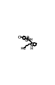 C#CCCCc1[nH]c2ccccc2c1CCNS(=O)(=O)c1ccc(Cl)cc1